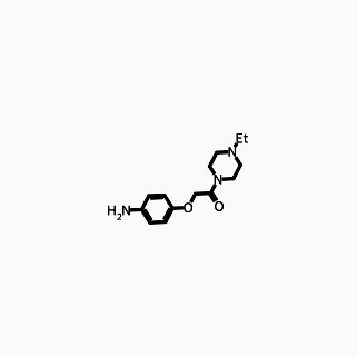 CCN1CCN(C(=O)COc2ccc(N)cc2)CC1